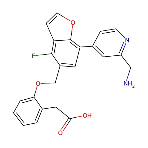 NCc1cc(-c2cc(COc3ccccc3CC(=O)O)c(F)c3ccoc23)ccn1